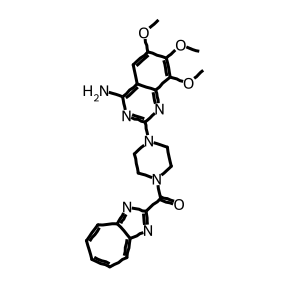 COc1cc2c(N)nc(N3CCN(C(=O)c4nc5cccccc-5n4)CC3)nc2c(OC)c1OC